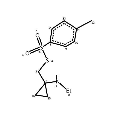 CCNC1(CSS(=O)(=O)c2ccc(C)cc2)CC1